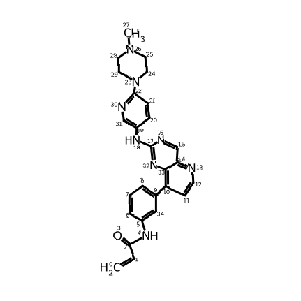 C=CC(=O)Nc1cccc(-c2ccnc3cnc(Nc4ccc(N5CCN(C)CC5)nc4)nc23)c1